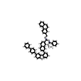 C=N/C(=N\C(=N/Cc1ccc2c(ccc3ccccc32)c1)c1ccc2ccc(-c3cccc4oc5ccc(-c6ccc(-c7ccccc7)cc6)cc5c34)cc2c1)c1ccccc1